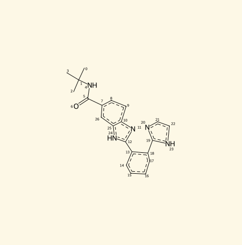 CC(C)(C)NC(=O)c1ccc2nc(-c3ccccc3-c3ncc[nH]3)[nH]c2c1